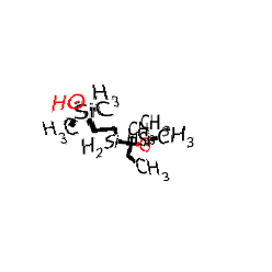 CC[C@@](C)(O[SiH](C)C)[SiH2]CC[Si](C)(C)O